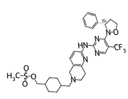 CS(=O)(=O)OCC1CCC(CN2CCc3nc(Nc4ncc(C(F)(F)F)c(N5OCC[C@H]5c5ccccc5)n4)ccc3C2)CC1